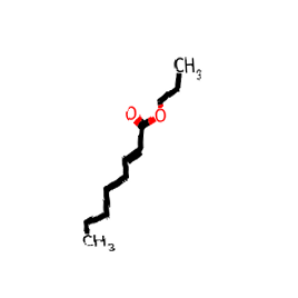 CCCCCC=CC(=O)OCCC